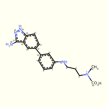 CN(CCCNc1cccc(-c2ccc3[nH]nc(N)c3c2)c1)C(=O)O